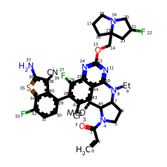 C=CC(=O)N1CCC(N(CC)c2nc(OCC34CCCN3CC(F)C4)nc3c(F)c(-c4ccc(F)c5sc(N)c(C#N)c45)c(C(F)(F)F)cc23)C1COC